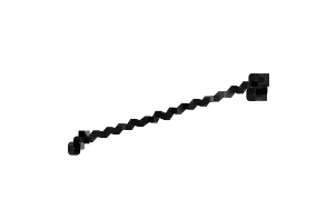 O=C=NCCCCCCCCCCCCCCCCCCCCCCCCCCP(=O)(O)O